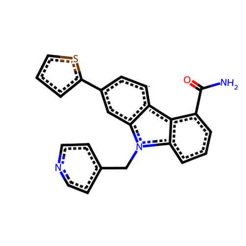 NC(=O)c1cccc2c1c1[c]cc(-c3cccs3)cc1n2Cc1ccncc1